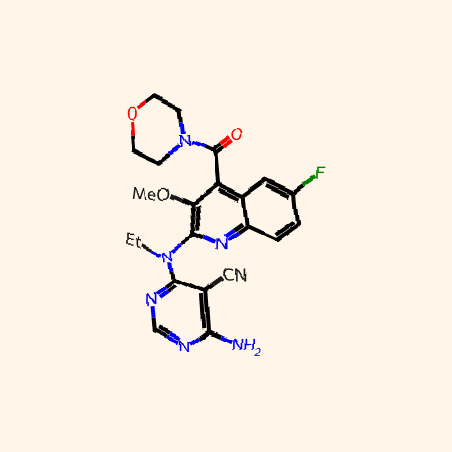 CCN(c1ncnc(N)c1C#N)c1nc2ccc(F)cc2c(C(=O)N2CCOCC2)c1OC